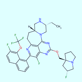 CC[C@@H]1CN2c3nc(OC[C@@]45CCCN4C[C@H](F)C5)nc4c(F)c(-c5cccc6ccc(F)c(OC(F)(F)F)c56)nc(c34)CC[C@@H]2CN1